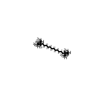 [2H]C([2H])([2H])C(C)(CCCCCCCCCCCCC(C)(C([2H])([2H])[2H])C([2H])([2H])[2H])C([2H])([2H])[2H]